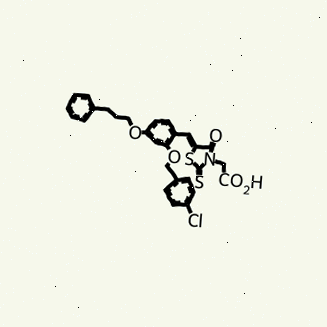 O=C(O)CN1C(=O)C(=Cc2ccc(OCCCc3ccccc3)cc2OCc2ccc(Cl)cc2)SC1=S